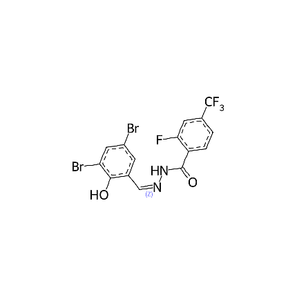 O=C(N/N=C\c1cc(Br)cc(Br)c1O)c1ccc(C(F)(F)F)cc1F